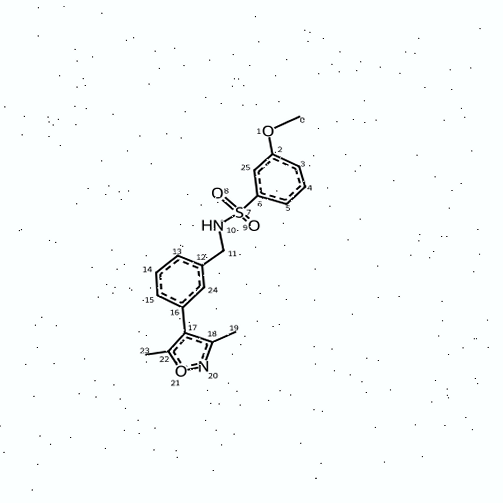 COc1cccc(S(=O)(=O)NCc2cccc(-c3c(C)noc3C)c2)c1